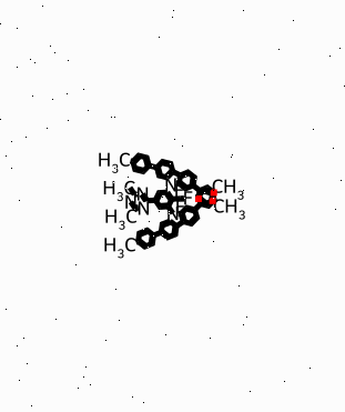 Cc1ccc(-c2ccc3c4ccc(-c5ccc(C)cc5)cc4n(-c4cc(-c5nc(C)nc(C)n5)cc(-n5c6cc(-c7ccc(C)cc7)ccc6c6ccc(-c7ccc(C)cc7)cc65)c4C(F)(F)F)c3c2)cc1